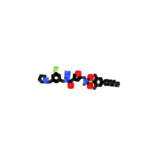 COc1cc(C)c(S(=O)(=O)N(C)Cc2cc(C(=O)NCc3cc(F)cc(CN4CCCC4)c3)co2)c(C)c1